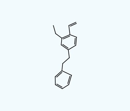 C=Cc1ccc(CCc2ccccc2)cc1CC